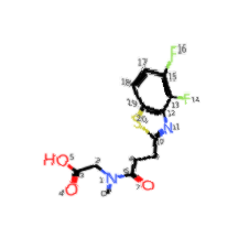 CN(CC(=O)O)C(=O)CCc1nc2c(F)c(F)ccc2s1